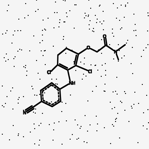 CN(C)C(=O)COC1=C(Cl)C(Nc2ccc(C#N)cc2)=C(Cl)C[CH]1